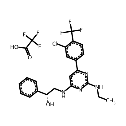 CCNc1nc(NC[C@H](O)c2ccccc2)cc(-c2ccc(C(F)(F)F)c(Cl)c2)n1.O=C(O)C(F)(F)F